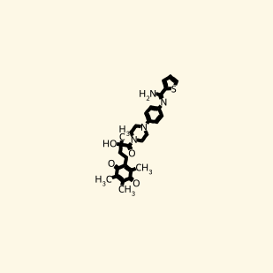 CC1=C(C)C(=O)C(CCC(C)(O)C(=O)N2CCN(c3ccc(/N=C(\N)c4cccs4)cc3)CC2)=C(C)C1=O